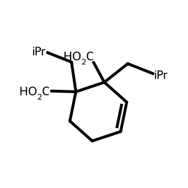 CC(C)CC1(C(=O)O)C=CCCC1(CC(C)C)C(=O)O